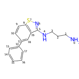 NCCCNc1nsc2ccc(-c3ccccc3)cc12